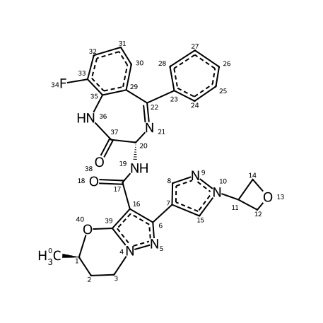 C[C@@H]1CCn2nc(-c3cnn(C4COC4)c3)c(C(=O)N[C@H]3N=C(c4ccccc4)c4cccc(F)c4NC3=O)c2O1